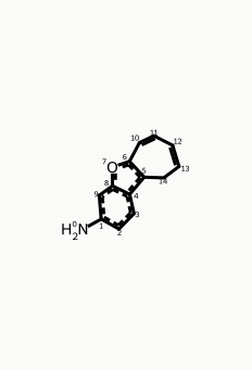 Nc1ccc2c3c(oc2c1)C=CC=CC3